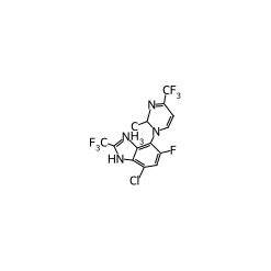 CC1N=C(C(F)(F)F)C=CN1c1c(F)cc(Cl)c2[nH]c(C(F)(F)F)nc12